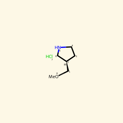 COC[C@@H]1CCNC1.Cl